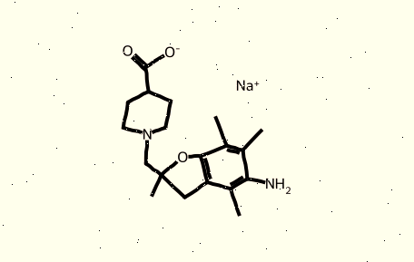 Cc1c(C)c2c(c(C)c1N)CC(C)(CN1CCC(C(=O)[O-])CC1)O2.[Na+]